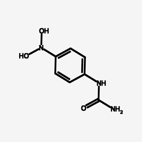 NC(=O)Nc1ccc(N(O)O)cc1